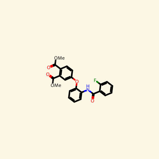 COC(=O)c1ccc(Oc2ccccc2NC(=O)c2ccccc2F)cc1C(=O)OC